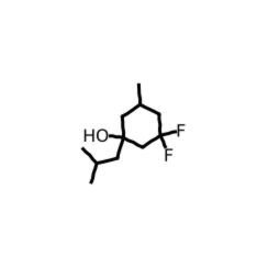 CC(C)CC1(O)CC(C)CC(F)(F)C1